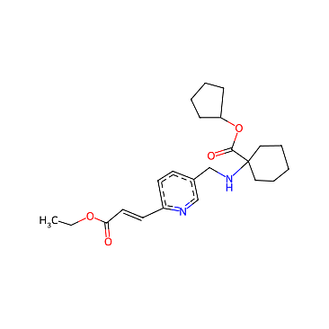 CCOC(=O)C=Cc1ccc(CNC2(C(=O)OC3CCCC3)CCCCC2)cn1